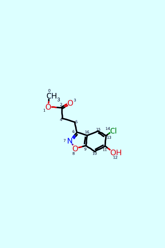 COC(=O)CCc1noc2cc(O)c(Cl)cc12